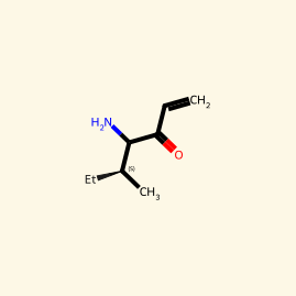 C=CC(=O)C(N)[C@@H](C)CC